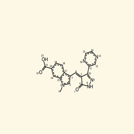 Cn1cc(C=C2C(=O)NN=C2c2cnccn2)c2ccc(C(=O)O)cc21